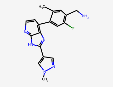 Cc1cc(CN)c(F)cc1-c1ccnc2[nH]c(-c3cnn(C)c3)nc12